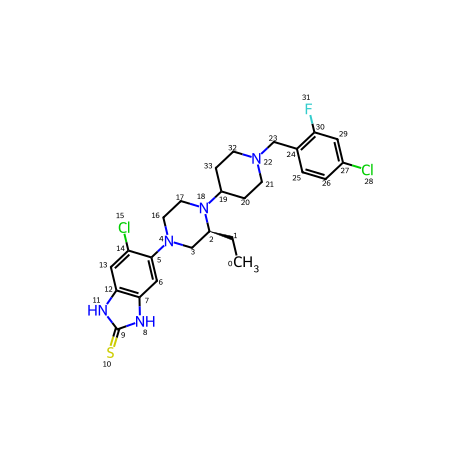 CC[C@H]1CN(c2cc3[nH]c(=S)[nH]c3cc2Cl)CCN1C1CCN(Cc2ccc(Cl)cc2F)CC1